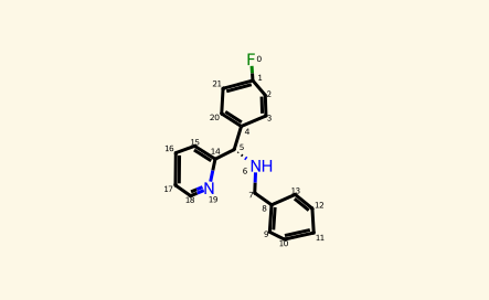 Fc1ccc([C@H](NCc2ccccc2)c2ccccn2)cc1